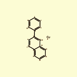 [Cu].c1ccc(-c2cnc3ccccc3n2)nc1